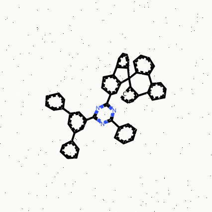 c1ccc(-c2cc(-c3ccccc3)cc(-c3nc(-c4ccccc4)nc(-c4ccc5c(c4)C4(c6ccccc6-c6ccccc6-c6ccccc64)c4ccccc4-5)n3)c2)cc1